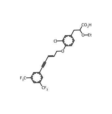 CCOC(Cc1ccc(OCC=CC#Cc2cc(C(F)(F)F)cc(C(F)(F)F)c2)c(Cl)c1)C(=O)O